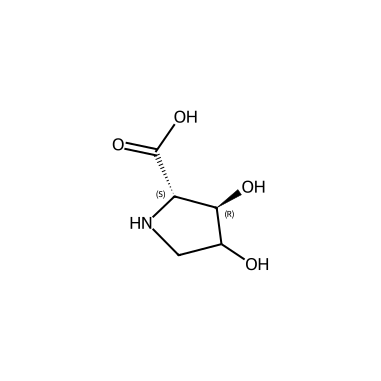 O=C(O)[C@H]1NCC(O)[C@@H]1O